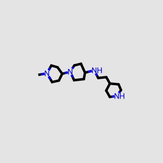 CN1CCC(N2CCC(NCCC3CCNCC3)CC2)CC1